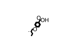 CC[C@H](C)COc1ccc(C(=O)O)cc1